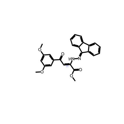 COC(=O)/C(=C/C(=O)c1cc(OC)cc(OC)c1)NN=C1c2ccccc2-c2ccccc21